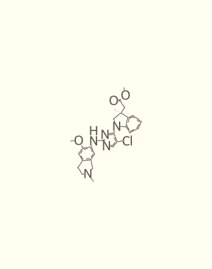 COC(=O)C[C@]1(C)CN(c2nc(Nc3cc4c(cc3OC)CCN(C)C4)ncc2Cl)c2ccccc21